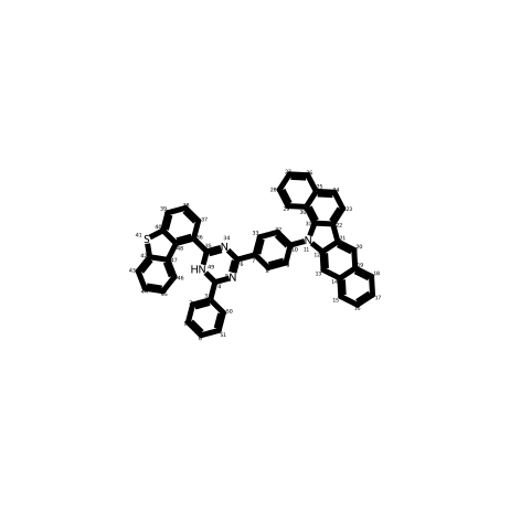 c1ccc(C2N=C(c3ccc(-n4c5cc6ccccc6cc5c5ccc6ccccc6c54)cc3)N=C(c3cccc4sc5ccccc5c34)N2)cc1